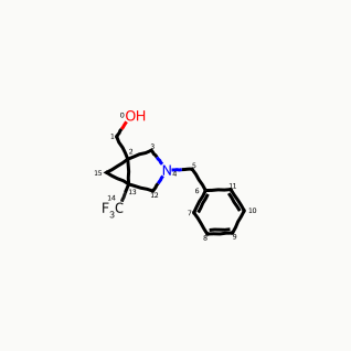 OCC12CN(Cc3ccccc3)CC1(C(F)(F)F)C2